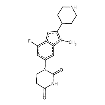 Cn1c(C2CCNCC2)cc2c(F)cc(N3CCC(=O)NC3=O)cc21